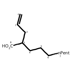 C=CCC(CCCCCCCC)C(=O)O